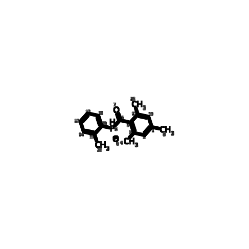 Cc1cc(C)c(C(=O)[PH](=O)c2ccccc2C)c(C)c1